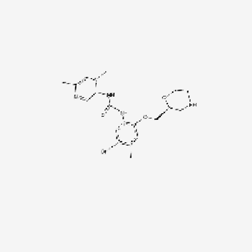 CC1=CN(C)C(NC(=O)Nc2cc(Br)c(C)cc2OC[C@@H]2CNCCO2)C=N1